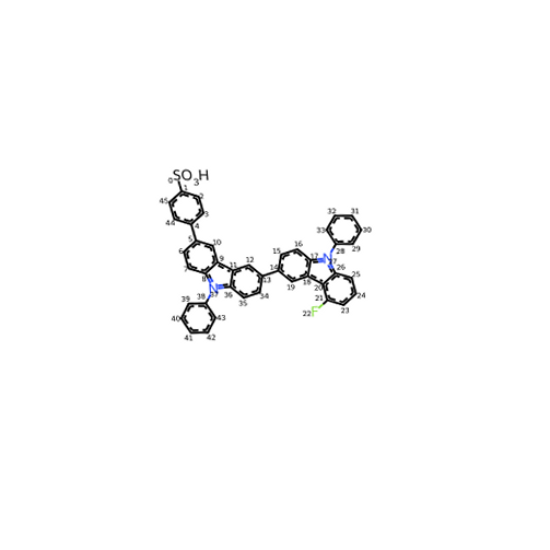 O=S(=O)(O)c1ccc(-c2ccc3c(c2)c2cc(-c4ccc5c(c4)c4c(F)cccc4n5-c4ccccc4)ccc2n3-c2ccccc2)cc1